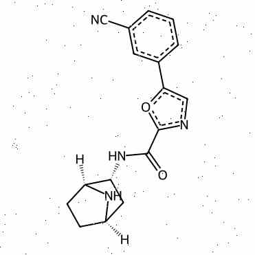 N#Cc1cccc(-c2cnc(C(=O)N[C@@H]3C[C@H]4CC[C@@H]3N4)o2)c1